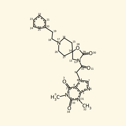 Cn1c(=O)c2c(ncn2CC(=O)N2CC3(CCN(CCc4ccccc4)CC3)OC2=O)n(C)c1=O